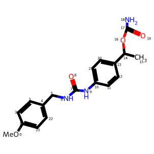 COc1ccc(CNC(=O)Nc2ccc(C(C)OC(N)=O)cc2)cc1